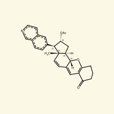 CC(=O)O[C@@H]1C[C@H]2[C@@H]3OC4=C(C=C3C=C[C@]2(C)[C@H]1c1ccc2cnccc2c1)C(=O)CCC4